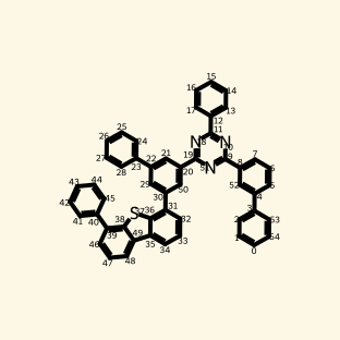 c1ccc(-c2cccc(-c3nc(-c4ccccc4)nc(-c4cc(-c5ccccc5)cc(-c5cccc6c5sc5c(-c7ccccc7)cccc56)c4)n3)c2)cc1